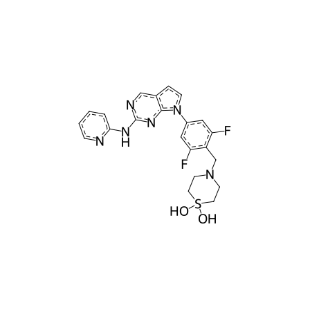 OS1(O)CCN(Cc2c(F)cc(-n3ccc4cnc(Nc5ccccn5)nc43)cc2F)CC1